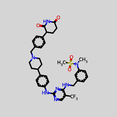 CN(c1cccc(CNc2nc(Nc3ccc(C4CCN(Cc5ccc(C6CCC(=O)NC6=O)cc5)CC4)cc3)ncc2C(F)(F)F)c1)S(C)(=O)=O